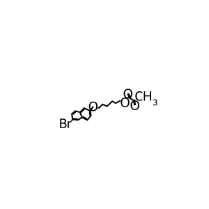 CC(=O)C(=O)OCCCCCCOc1ccc2cc(Br)ccc2c1